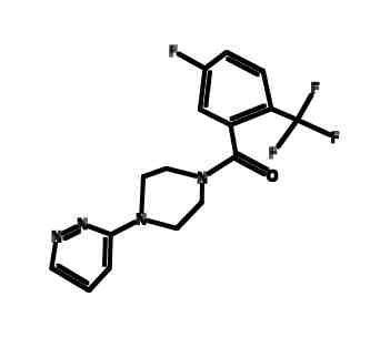 O=C(c1cc(F)ccc1C(F)(F)F)N1CCN(c2cccnn2)CC1